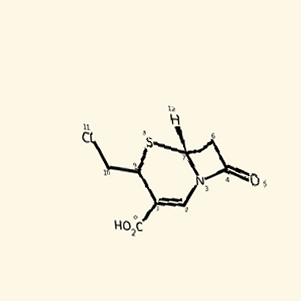 O=C(O)C1=CN2C(=O)C[C@H]2SC1CCl